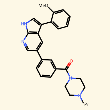 COc1ccccc1-c1c[nH]c2ncc(-c3cccc(C(=O)N4CCN(C(C)C)CC4)c3)cc12